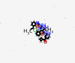 CCCc1cccc2nc(NC3=NC(c4ccccc4Cl)C(C(=O)Nc4cc(C(=O)C5CCC5)ccn4)=C(C)N3)oc12